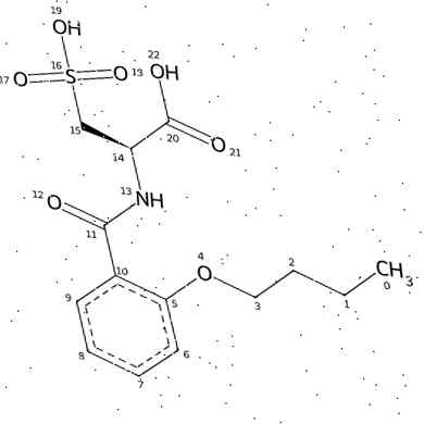 CCCCOc1ccccc1C(=O)N[C@@H](CS(=O)(=O)O)C(=O)O